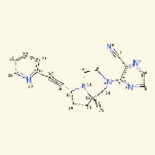 N#Cc1nccnc1N1CCN2[C@@H](CC[C@@H]2C#Cc2ccccn2)C1